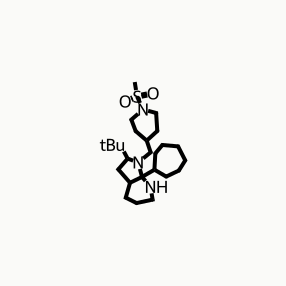 CC(C)(C)C1CC2CCCNC2(C2CCCCCC2)N1CC1CCN(S(C)(=O)=O)CC1